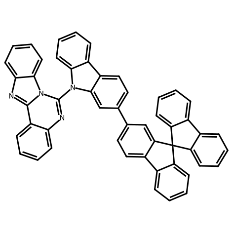 c1ccc2c(c1)-c1ccccc1C21c2ccccc2-c2ccc(-c3ccc4c5ccccc5n(-c5nc6ccccc6c6nc7ccccc7n56)c4c3)cc21